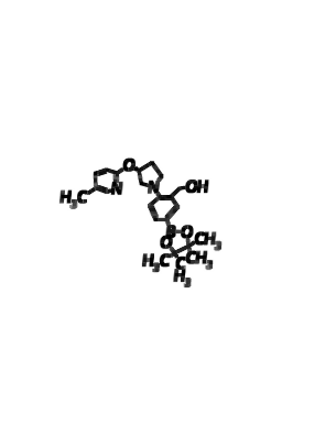 Cc1ccc(O[C@H]2CCN(c3ccc(B4OC(C)(C)C(C)(C)O4)cc3CO)C2)nc1